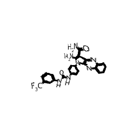 NC(=O)c1c(N)n(-c2ccc(NC(=O)Nc3cccc(C(F)(F)F)c3)cc2)c2nc3ccccc3nc12